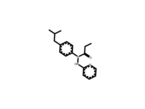 CCC(=O)N(Nc1ccccn1)c1ccc(CC(C)C)cc1